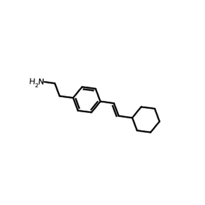 NCCc1ccc(C=CC2CCCCC2)cc1